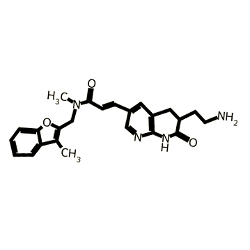 Cc1c(CN(C)C(=O)/C=C/c2cnc3c(c2)CC(CCN)C(=O)N3)oc2ccccc12